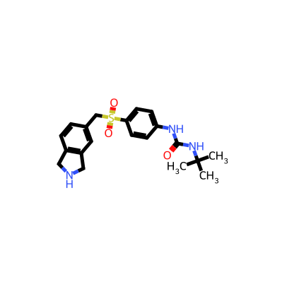 CC(C)(C)NC(=O)Nc1ccc(S(=O)(=O)Cc2ccc3c(c2)CNC3)cc1